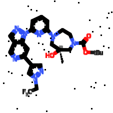 CC(C)(C)OC(=O)N1CCN(c2cccc(-n3ncc4cnc(-c5cnn(CC(F)(F)F)c5)cc43)n2)C[C@](C)(O)C1